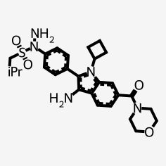 CC(C)CS(=O)(=O)N(N)c1ccc(-c2c(N)c3ccc(C(=O)N4CCOCC4)cc3n2C2CCC2)cc1